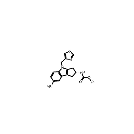 CC(C)OC(=O)N[C@@H]1Cc2c(n(Cc3cscn3)c3ccc(C#N)cc23)C1